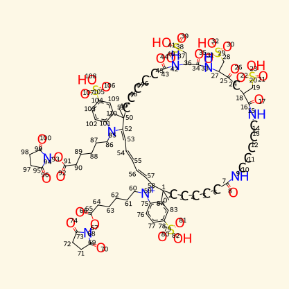 CC12CCCCCC(=O)NCCCCCNC(=O)C(CS(=O)(=O)O)CC(=O)C(CS(=O)(=O)O)NC(=O)C(CS(=O)(=O)O)NC(=O)CCCCCC3(C)/C(=C/C=C/C=C/C1=[N+](CCCCCC(=O)ON1C(=O)CCC1=O)c1ccc(S(=O)(=O)O)cc12)N(CCCCCC(=O)ON1C(=O)CCC1=O)c1ccc(S(=O)(=O)O)cc13